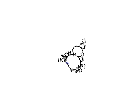 C#C[C@@]1(O)/C=C/C[C@H](C)[C@@H](C)S(=O)(=O)NC(=O)c2ccc3c(c2)N(CCCCc2cc(Cl)ccc2CO3)C[C@@H]2CC[C@H]21